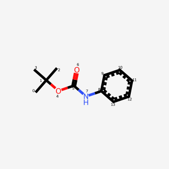 CC(C)(C)OC(=O)Nc1c[c]ccc1